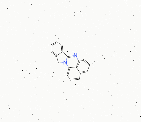 c1ccc2c(c1)CN1C2=Nc2cccc3cccc1c23